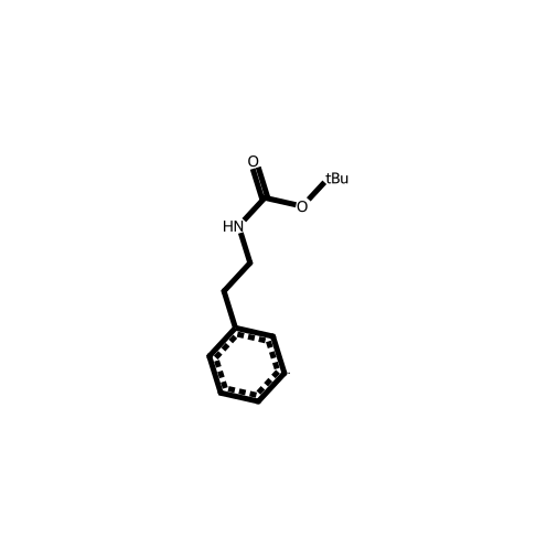 CC(C)(C)OC(=O)NCCc1c[c]ccc1